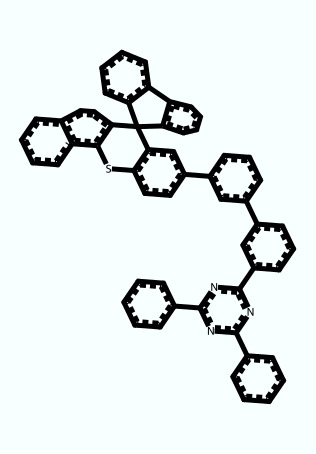 c1ccc(-c2nc(-c3ccccc3)nc(-c3cccc(-c4cccc(-c5ccc6c(c5)C5(c7ccccc7-c7ccccc75)c5ccc7ccccc7c5S6)c4)c3)n2)cc1